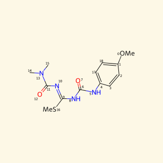 COc1ccc(NC(=O)NC(=NC(=O)N(C)C)SC)cc1